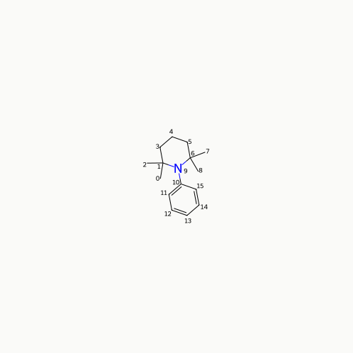 CC1(C)CCCC(C)(C)N1c1ccccc1